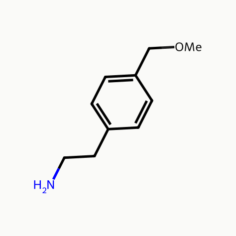 COCc1ccc(CCN)cc1